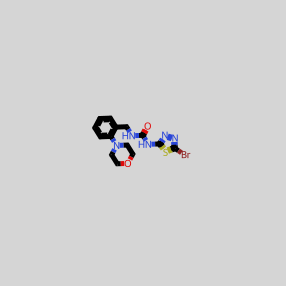 O=C(NCc1ccccc1N1CCOCC1)Nc1nnc(Br)s1